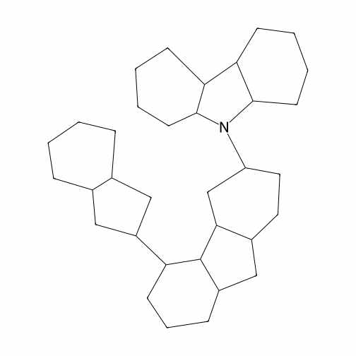 C1CCC2CC(C3CCCC4CC5CCC(N6C7CCCCC7C7CCCCC76)CC5C43)CC2C1